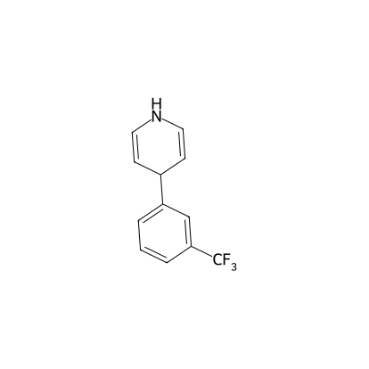 FC(F)(F)c1cccc(C2C=CNC=C2)c1